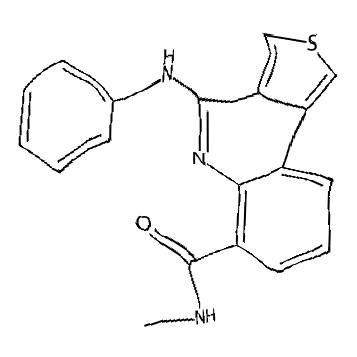 CNC(=O)c1cccc2c1nc(Nc1ccccc1)c1cscc12